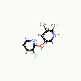 Fc1cccnc1Oc1cnc(Cl)c(Cl)c1